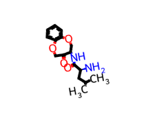 CC(C)C[C@H](N)C(=O)NC1COc2ccccc2OCC1=O